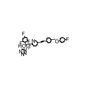 OC(Cn1cnnn1)(c1ccc(F)cc1F)C(F)(F)c1ccc(C#Cc2ccc(COc3ccc(F)cc3)cc2)cn1